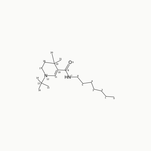 CCCCCCCNC(=O)C1=CN(C(C)(C)C)CCC1(C)C